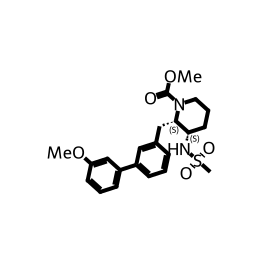 COC(=O)N1CCC[C@H](NS(C)(=O)=O)[C@@H]1Cc1cccc(-c2cccc(OC)c2)c1